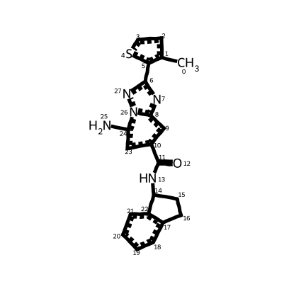 Cc1ccsc1-c1nc2cc(C(=O)NC3CCc4ccccc43)cc(N)n2n1